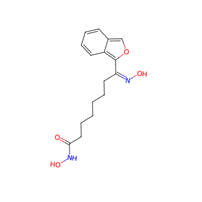 O=C(CCCCCC/C(=N/O)c1occ2ccccc12)NO